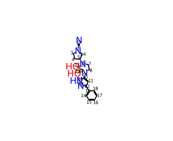 N#CN1CCC(N2CCN(c3cc(-c4ccccc4)n[nH]3)S2(O)O)C1